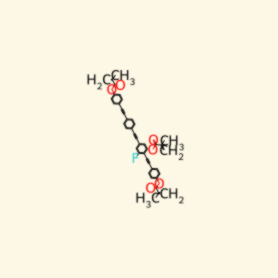 C=C(C)C(=O)Oc1ccc(C#Cc2ccc(C#Cc3cc(F)c(C#Cc4ccc(OC(=O)C(=C)C)cc4)c(OC(=O)C(=C)C)c3)cc2)cc1